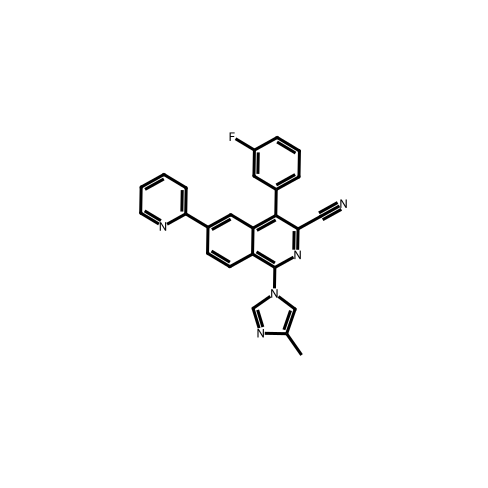 Cc1cn(-c2nc(C#N)c(-c3cccc(F)c3)c3cc(-c4ccccn4)ccc23)cn1